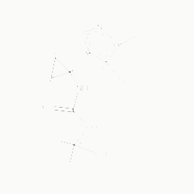 Cc1noc(C2(NC(=O)OC(C)(C)C)CC2)c1Br